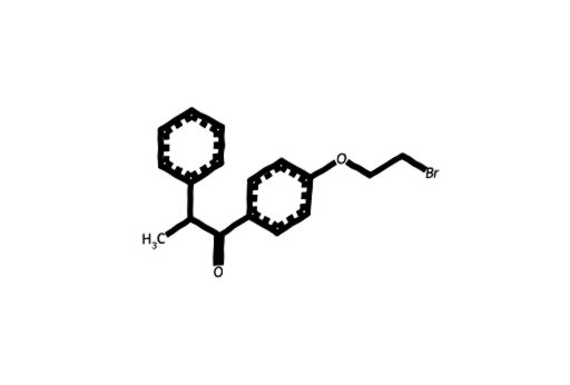 CC(C(=O)c1ccc(OCCBr)cc1)c1ccccc1